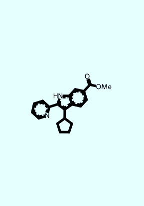 COC(=O)c1ccc2c(C3CCCC3)c(-c3ccccn3)[nH]c2c1